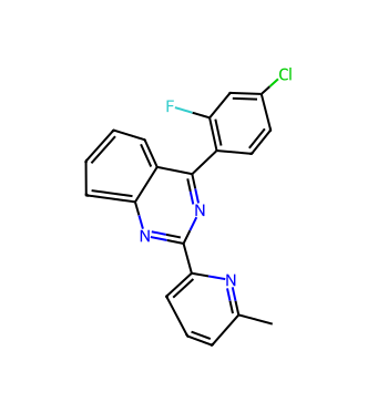 Cc1cccc(-c2nc(-c3ccc(Cl)cc3F)c3ccccc3n2)n1